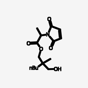 CCCCC(C)(CO)COC(=O)C(C)N1C(=O)C=CC1=O